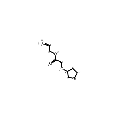 C=CCOC(=O)COC1CCCC1